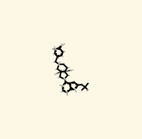 CC(C)(F)Cc1cc2c(N3C[C@H]4CCN(Cc5ccc(=O)[nH]c5)C[C@H]4C3)ncnc2s1